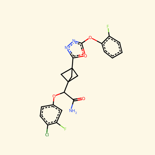 NC(=O)C(Oc1ccc(Cl)c(F)c1)C12CC(c3nnc(Oc4ccccc4F)o3)(C1)C2